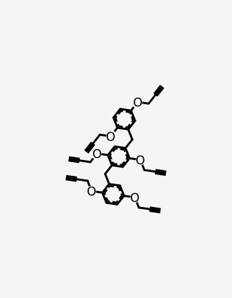 C#CCOc1ccc(OCC#C)c(Cc2cc(OCC#C)c(Cc3cc(OCC#C)ccc3OCC#C)cc2OCC#C)c1